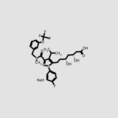 CC(C)c1c(C(=O)N(C)Cc2cccc(OC(F)(F)F)c2)nn(-c2ccc(F)cc2)c1CC[C@@H](O)C[C@@H](O)CC(=O)O.[NaH]